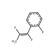 CC(F)=C(F)c1ccccc1F